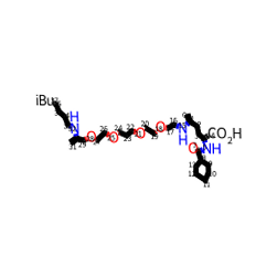 C=C(CCC(NC(=O)C1CCCCC1)C(=O)O)NCCOCCOCCCOCCOCC(=C)NCCCCC(C)CC